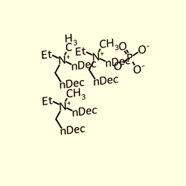 CCCCCCCCCCC[N+](C)(CC)CCCCCCCCCC.CCCCCCCCCCC[N+](C)(CC)CCCCCCCCCC.CCCCCCCCCCC[N+](C)(CC)CCCCCCCCCC.O=P([O-])([O-])[O-]